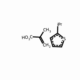 C=C(C)C(=O)O.CC(C)c1cccs1